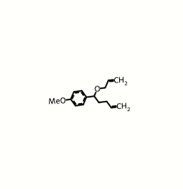 C=CCCC(OCC=C)c1ccc(OC)cc1